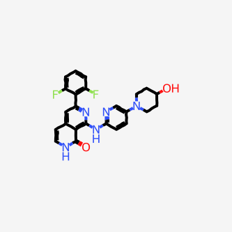 O=c1[nH]ccc2cc(-c3c(F)cccc3F)nc(Nc3ccc(N4CCC(O)CC4)cn3)c12